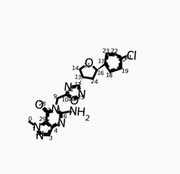 Cn1ncc2nc(N)n(Cc3nc([C@@H]4CO[C@@H](c5ccc(Cl)cc5)C4)no3)c(=O)c21